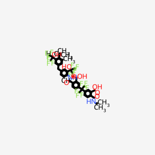 Cc1cc(Cc2cc(C)c(C(C)(C)C)c(C(O)(C(F)(F)F)C(F)(F)F)c2)cc(C(O)(C(F)(F)F)C(F)(F)F)c1NC(=O)c1ccc(C(c2ccc(C(=O)NC(C)C)c(C(=O)O)c2)(C(F)(F)F)C(F)(F)F)cc1C(=O)O